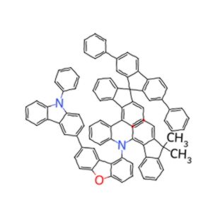 CC1(C)c2ccccc2-c2c(N(c3ccccc3-c3cccc4c3-c3ccccc3C43c4cc(-c5ccccc5)ccc4-c4ccc(-c5ccccc5)cc43)c3cccc4oc5ccc(-c6ccc7c(c6)c6ccccc6n7-c6ccccc6)cc5c34)cccc21